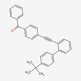 CC(C)(C)c1ccc(-c2ccccc2C#Cc2ccc(C(=O)c3ccccc3)cc2)cc1